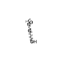 C=C(C)C(=O)OCCCOCCCCCCO